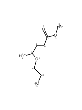 CCCOC(=O)CCC(C)OCCO